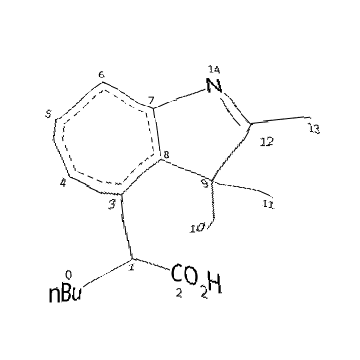 CCCCC(C(=O)O)c1cccc2c1C(C)(C)C(C)=N2